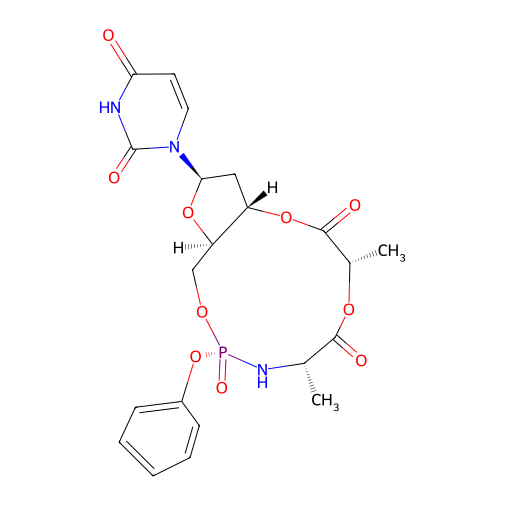 C[C@@H]1N[P@](=O)(Oc2ccccc2)OC[C@H]2O[C@@H](n3ccc(=O)[nH]c3=O)C[C@@H]2OC(=O)[C@H](C)OC1=O